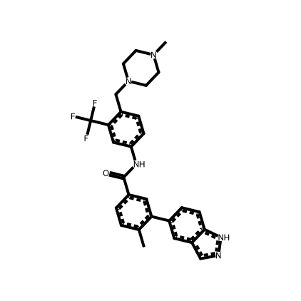 Cc1ccc(C(=O)Nc2ccc(CN3CCN(C)CC3)c(C(F)(F)F)c2)cc1-c1ccc2[nH]ncc2c1